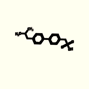 CC(C)Cc1ccc(-c2ccc(CS(=O)(=O)O)cc2)cc1